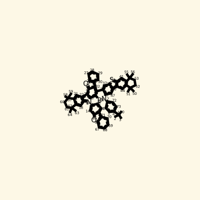 CC(C)(C)c1ccc(N2B3c4cc5c(cc4-n4c6cc7c(cc6c6c8oc9ccccc9c8c(c3c64)-c3cc4sc6cc8c(cc6c4cc32)C(C)(C)CCC8(C)C)C(C)(C)CCC7(C)C)oc2ccccc25)cc1